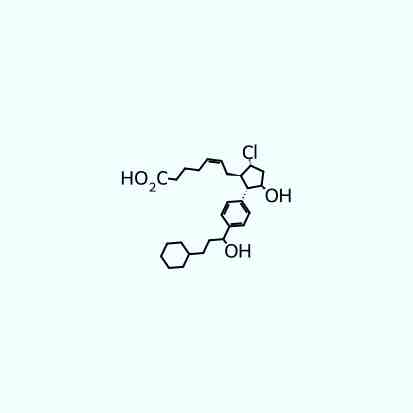 O=C(O)CCC/C=C\C[C@@H]1[C@@H](c2ccc(C(O)CCC3CCCCC3)cc2)[C@H](O)C[C@H]1Cl